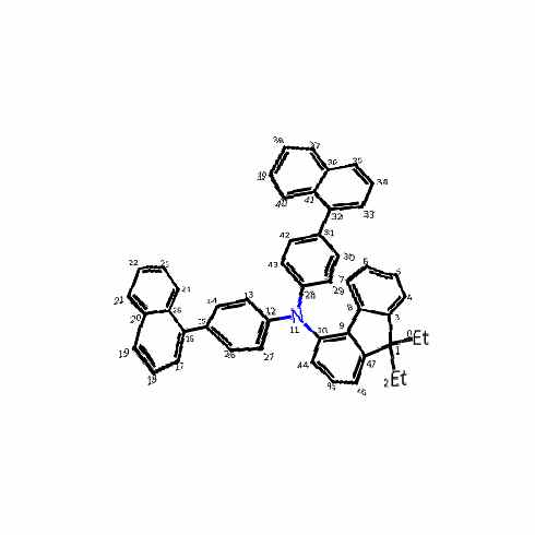 CCC1(CC)c2ccccc2-c2c(N(c3ccc(-c4cccc5ccccc45)cc3)c3ccc(-c4cccc5ccccc45)cc3)cccc21